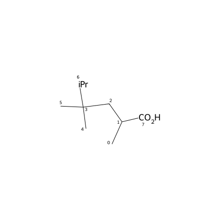 CC(CC(C)(C)C(C)C)C(=O)O